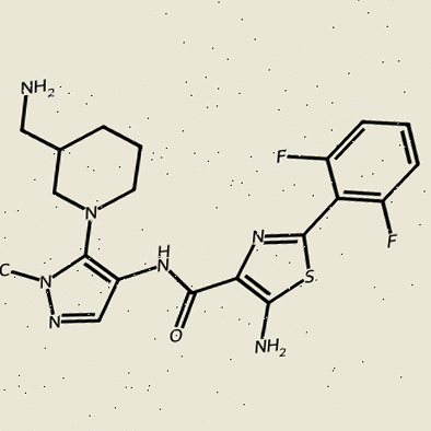 Cn1ncc(NC(=O)c2nc(-c3c(F)cccc3F)sc2N)c1N1CCCC(CN)C1